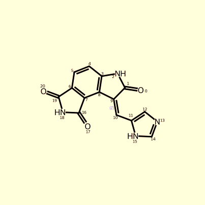 O=C1Nc2ccc3c(c2/C1=C/c1cnc[nH]1)C(=O)NC3=O